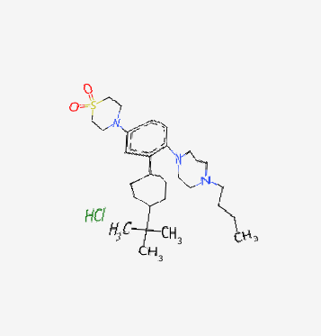 CCCCN1CCN(c2ccc(N3CCS(=O)(=O)CC3)cc2C2CCC(C(C)(C)C)CC2)CC1.Cl